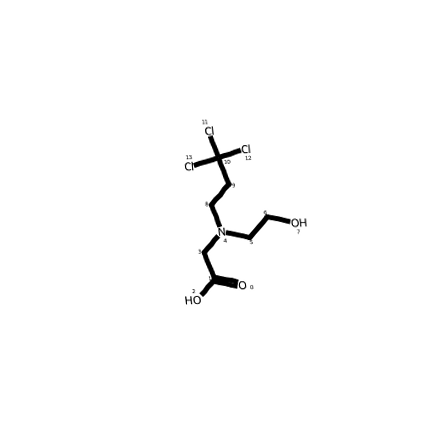 O=C(O)CN(CCO)CCC(Cl)(Cl)Cl